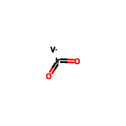 [O]=[Ir]=[O].[V]